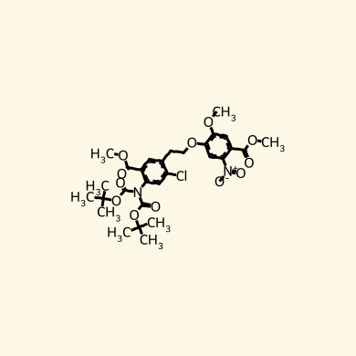 COC(=O)c1cc(CCOc2cc([N+](=O)[O-])c(C(=O)OC)cc2OC)c(Cl)cc1N(C(=O)OC(C)(C)C)C(=O)OC(C)(C)C